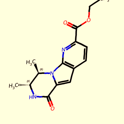 CCOC(=O)c1ccc2cc3n(c2n1)[C@H](C)[C@@H](C)NC3=O